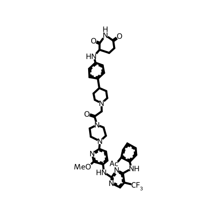 COc1nc(N2CCN(C(=O)CN3CCC(c4ccc(NC5CCC(=O)NC5=O)cc4)CC3)CC2)ccc1Nc1ncc(C(F)(F)F)c(Nc2ccccc2C(C)=O)n1